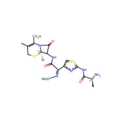 CO/N=C(\C(=O)NC1C(=O)N2C(C(=O)O)=C(C)CS[C@H]12)c1csc(NC(=O)[C@H](C)N)n1